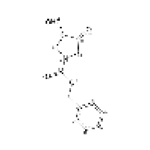 O=CC1CN(C(=O)OCc2ccccc2)CC1=O